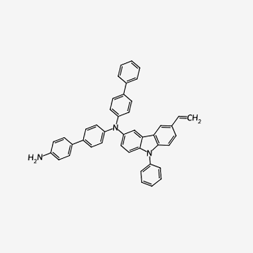 C=Cc1ccc2c(c1)c1cc(N(c3ccc(-c4ccccc4)cc3)c3ccc(-c4ccc(N)cc4)cc3)ccc1n2-c1ccccc1